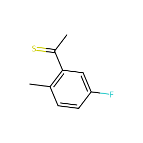 CC(=S)c1cc(F)ccc1C